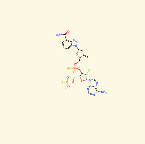 C=C1C[C@H](n2nnc3c(C(N)=O)cccc32)O[C@@H]1COP(=O)(S)O[C@H]1[C@@H](F)[C@H](n2cnc3c(N)ncnc32)O[C@@H]1CO[P@](=O)(S)OC